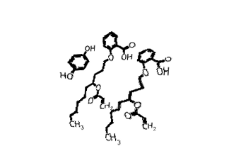 C=CC(=O)OC(CCCCCC)CCCOc1ccccc1C(=O)O.C=CC(=O)OC(CCCCCC)CCCOc1ccccc1C(=O)O.Oc1ccc(O)cc1